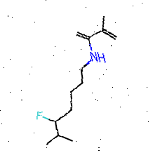 C=C(C)C(=C)NCCCCC(F)C(C)C